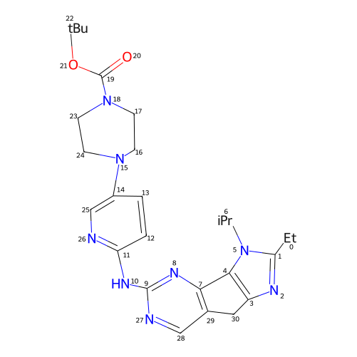 CCc1nc2c(n1C(C)C)-c1nc(Nc3ccc(N4CCN(C(=O)OC(C)(C)C)CC4)cn3)ncc1C2